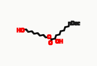 CCCCCCCCCCCCCCCCC(O)C(=O)OCCCCCCCCO